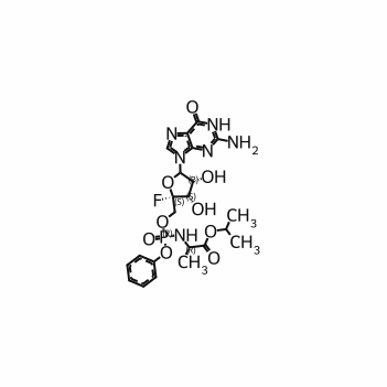 CC(C)OC(=O)[C@@H](C)N[P@@](=O)(OC[C@@]1(F)OC(n2cnc3c(=O)[nH]c(N)nc32)[C@H](O)[C@@H]1O)Oc1ccccc1